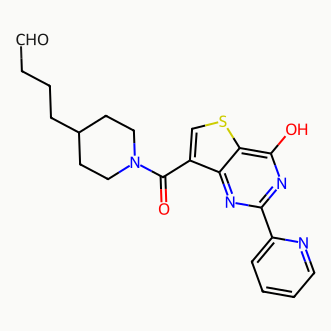 O=CCCCC1CCN(C(=O)c2csc3c(O)nc(-c4ccccn4)nc23)CC1